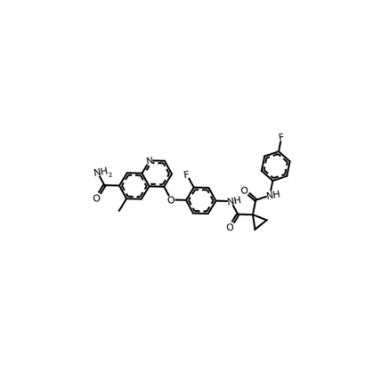 Cc1cc2c(Oc3ccc(NC(=O)C4(C(=O)Nc5ccc(F)cc5)CC4)cc3F)ccnc2cc1C(N)=O